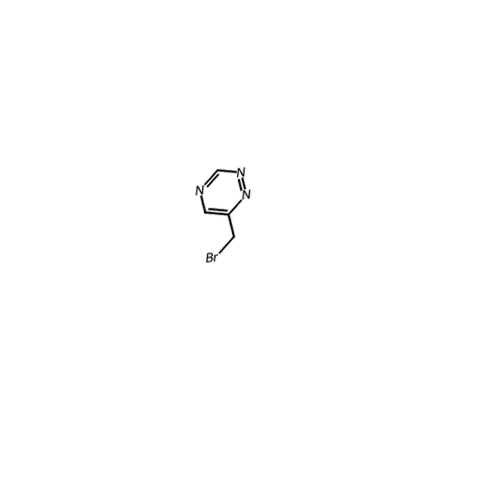 BrCc1cncnn1